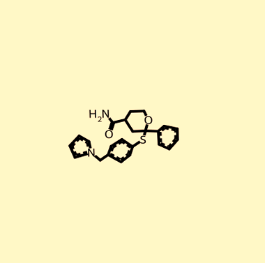 NC(=O)C1CCOC(Sc2ccc(Cn3cccc3)cc2)(c2ccccc2)C1